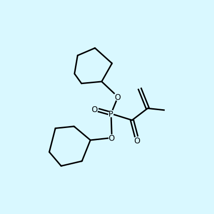 C=C(C)C(=O)P(=O)(OC1CCCCC1)OC1CCCCC1